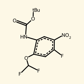 CC(C)(C)OC(=O)Nc1cc([N+](=O)[O-])c(F)cc1OC(F)F